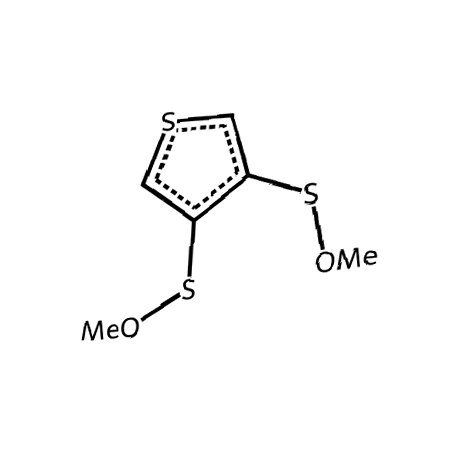 COSc1cscc1SOC